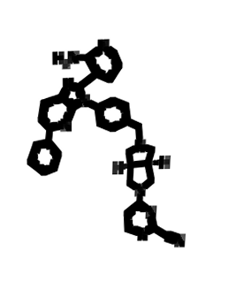 N#Cc1nccc(N2C[C@H]3CN(Cc4ccc(-n5c(-c6cccnc6N)nc6ccc(-c7ccccc7)nc65)cc4)C[C@H]3C2)n1